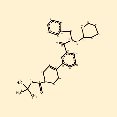 CC(C)(C)OC(=O)N1CC=C(c2ccnc(C(=O)N(Cc3ccccc3)OC3CCCCO3)c2)CC1